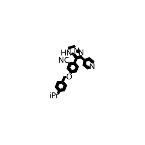 CC(C)c1ccc(COc2ccc(-c3c(-c4ccncc4)nn4c3NCC4)c(C#N)c2)cc1